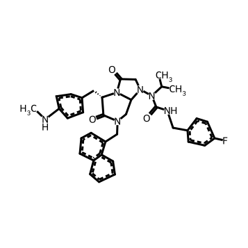 CNc1ccc(C[C@H]2C(=O)N(Cc3cccc4ccccc34)CC3N2C(=O)CN3N(C(=O)NCc2ccc(F)cc2)C(C)C)cc1